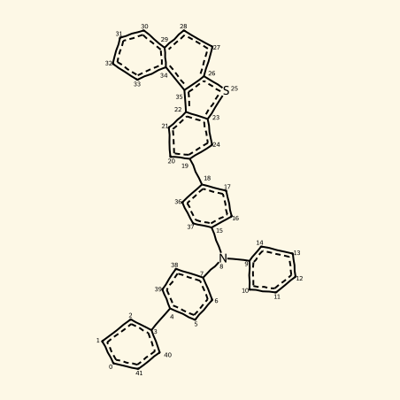 c1ccc(-c2ccc(N(c3ccccc3)c3ccc(-c4ccc5c(c4)sc4ccc6ccccc6c45)cc3)cc2)cc1